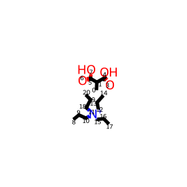 CC(C(=O)O)C(=O)O.CCC[N+](CCC)(CCC)CCC